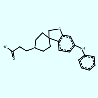 O=C(O)CCN1CCC2(CC1)COc1cc(Nc3ccccc3)ccc12